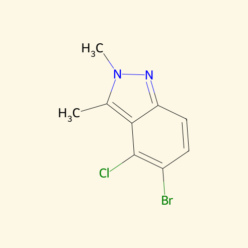 Cc1c2c(Cl)c(Br)ccc2nn1C